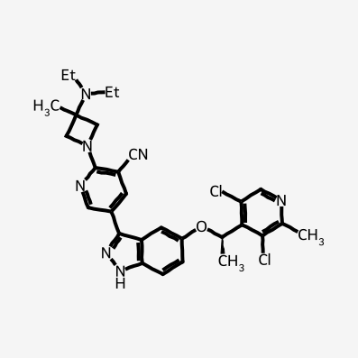 CCN(CC)C1(C)CN(c2ncc(-c3n[nH]c4ccc(O[C@H](C)c5c(Cl)cnc(C)c5Cl)cc34)cc2C#N)C1